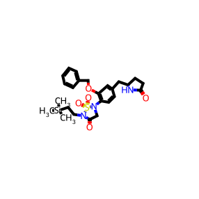 C[Si](C)(C)CCN1C(=O)CN(c2ccc(CC3CCC(=O)N3)cc2OCc2ccccc2)S1(=O)=O